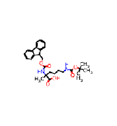 CC(C)(C)OC(=O)NCCCCC(C)(NC(=O)OCC1c2ccccc2-c2ccccc21)C(=O)O